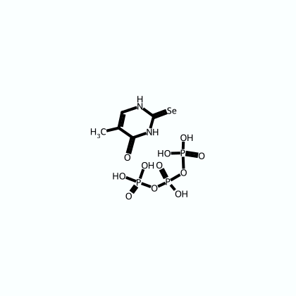 Cc1c[nH]c(=[Se])[nH]c1=O.O=P(O)(O)OP(=O)(O)OP(=O)(O)O